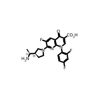 C[C@H](N)[C@@H]1CCN(c2nc3c(cc2F)c(=O)c(C(=O)O)cn3-c2ccc(F)cc2F)C1